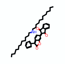 CCCCCCCCCCCCNCCCCCCCCCCCC.O=C1Oc2cc(=C3C(=O)c4ccccc4C3=O)ccc2=C1c1ccccc1